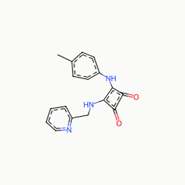 Cc1ccc(Nc2c(NCc3ccccn3)c(=O)c2=O)cc1